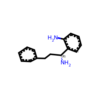 Nc1ccc[c]c1[C@H](N)CCc1ccccc1